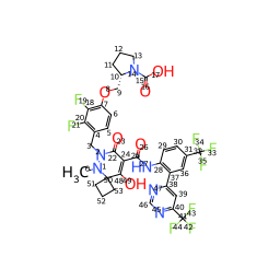 CN1N(Cc2ccc(OC[C@@H]3CCCN3C(=O)O)c(F)c2F)C(=O)C(C(=O)Nc2ccc(C(F)(F)F)cc2-c2cc(C(F)(F)F)ncn2)=C(O)C12CCC2